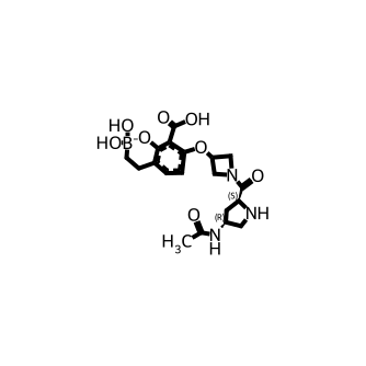 CC(=O)N[C@H]1CN[C@H](C(=O)N2CC(Oc3ccc4c(c3C(=O)O)O[B-](O)(O)CC4)C2)C1